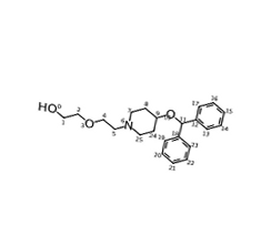 OCCOCCN1CCC(OC(c2ccccc2)c2ccccc2)CC1